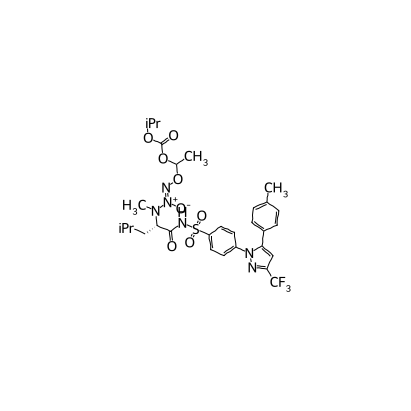 Cc1ccc(-c2cc(C(F)(F)F)nn2-c2ccc(S(=O)(=O)NC(=O)[C@H](CC(C)C)N(C)[N+]([O-])=NOC(C)OC(=O)OC(C)C)cc2)cc1